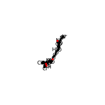 CCC(CC)(NC(=O)c1nn(-c2ccc(Cl)cc2Cl)c(-c2ccc(Cl)cc2)c1C)C(=O)NCCOCCOCCOCCNC(=O)c1ccc(S(=O)(=O)N(CC#N)C(=O)CCCCN=[N+]=[N-])cc1